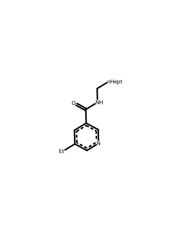 CCCCCCCCNC(=O)c1cncc(CC)c1